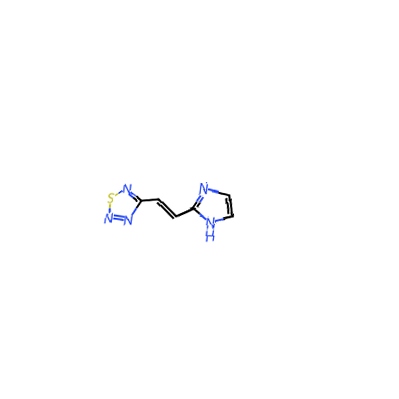 C(=Cc1ncc[nH]1)c1nnsn1